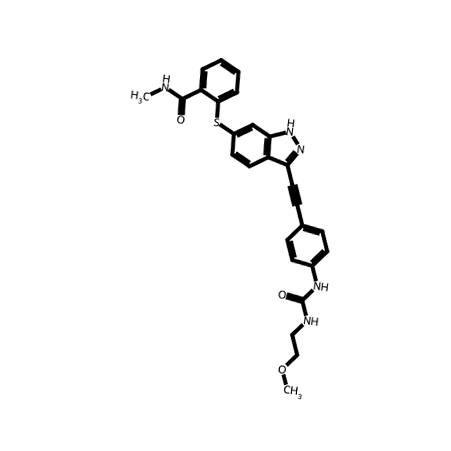 CNC(=O)c1ccccc1Sc1ccc2c(C#Cc3ccc(NC(=O)NCCOC)cc3)n[nH]c2c1